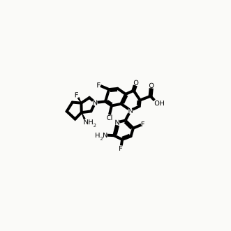 Nc1nc(-n2cc(C(=O)O)c(=O)c3cc(F)c(N4C[C@]5(N)CCC[C@]5(F)C4)c(Cl)c32)c(F)cc1F